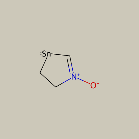 [O-][N+]1=[CH][Sn][CH2]C1